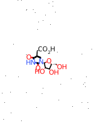 O=C(O)Cc1cn([C@@H]2O[C@H](CO)[C@@H](O)[C@H]2O)c(=O)[nH]c1=O